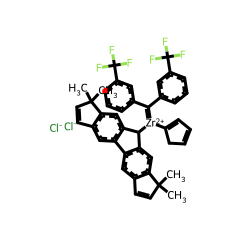 CC1(C)C=Cc2cc3c(cc21)[CH]([Zr+2]([C]1=CC=CC1)=[C](c1cccc(C(F)(F)F)c1)c1cccc(C(F)(F)F)c1)c1cc2c(cc1-3)C=CC2(C)C.[Cl-].[Cl-]